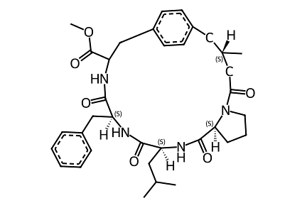 COC(=O)C1Cc2ccc(cc2)C[C@H](C)CC(=O)N2CCC[C@H]2C(=O)N[C@@H](CC(C)C)C(=O)N[C@@H](Cc2ccccc2)C(=O)N1